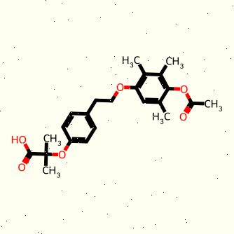 CC(=O)Oc1c(C)cc(OCCc2ccc(OC(C)(C)C(=O)O)cc2)c(C)c1C